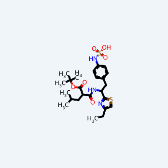 CCc1csc(C(Cc2ccc(NS(=O)(=O)O)cc2)NC(=O)C(CC(C)C)C(=O)OC(C)(C)C)n1